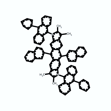 Cc1c(C)n(-c2c3ccccc3c(-c3ccccc3)c3ccccc23)c2cc3c(-c4ccc5ccccc5c4)c4cc5c(C)c(C)n(-c6c7ccccc7c(-c7ccccc7)c7ccccc67)c5cc4c(-c4ccc5ccccc5c4)c3cc12